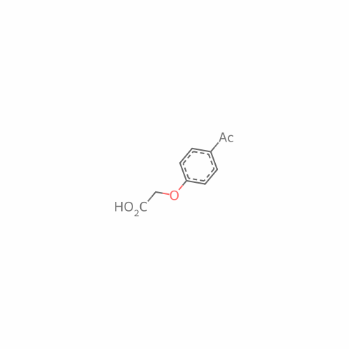 [CH2]C(=O)c1ccc(OCC(=O)O)cc1